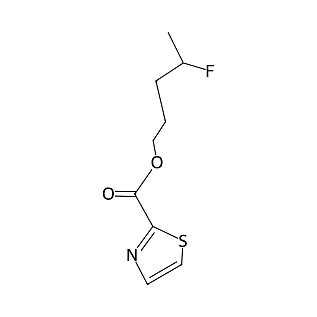 CC(F)CCCOC(=O)c1nccs1